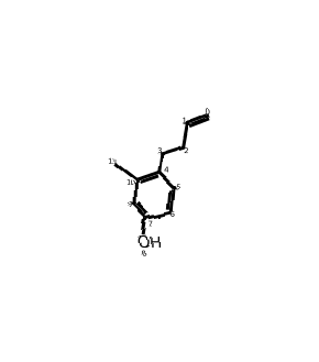 C=CCCc1ccc(O)cc1C